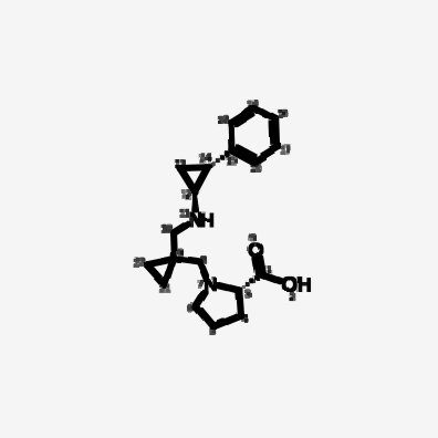 O=C(O)[C@@H]1CCCN1CC1(CN[C@H]2C[C@@H]2c2ccccc2)CC1